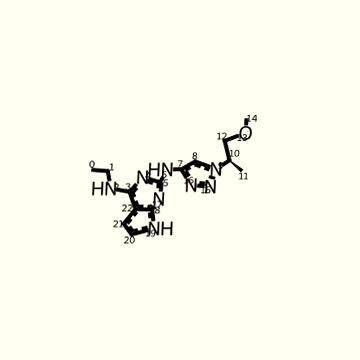 CCNc1nc(Nc2cn([C@H](C)COC)nn2)nc2[nH]ccc12